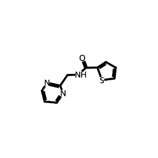 O=C(NCc1ncccn1)c1cccs1